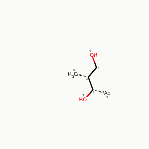 CC(=O)[C@H](O)[C@H](C)CO